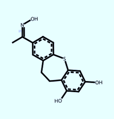 C/C(=N/O)c1ccc2c(c1)CCc1c(O)cc(O)cc1S2